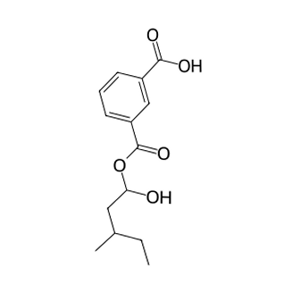 CCC(C)CC(O)OC(=O)c1cccc(C(=O)O)c1